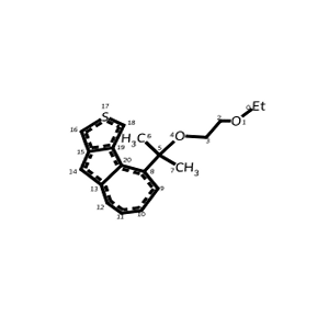 CCOCCOC(C)(C)c1ccccc2cc3cscc3c1-2